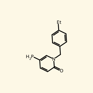 CCc1ccc(Cn2cc(P)ccc2=O)cc1